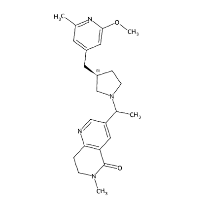 COc1cc(C[C@H]2CCN(C(C)c3cnc4c(c3)C(=O)N(C)CC4)C2)cc(C)n1